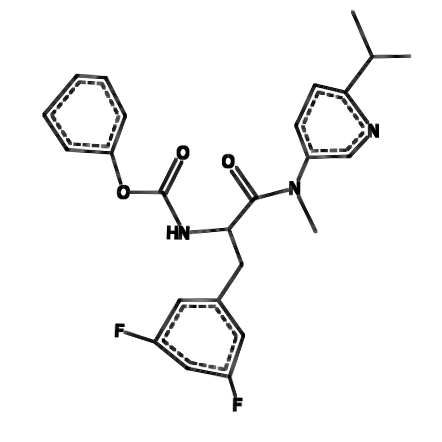 CC(C)c1ccc(N(C)C(=O)C(Cc2cc(F)cc(F)c2)NC(=O)Oc2ccccc2)cn1